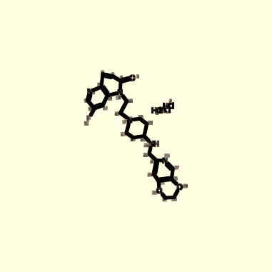 Cl.Cl.Cl.O=c1ccc2ncc(F)cc2n1CCN1CCC(NCc2cc3c(cn2)OCCO3)CC1